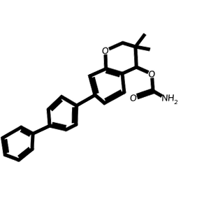 CC1(C)COc2cc(-c3ccc(-c4ccccc4)cc3)ccc2C1OC(N)=O